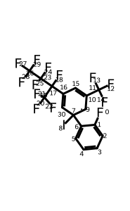 Fc1ccccc1C1(I)[CH]C(C(F)(F)F)=CC(C(F)(C(F)(F)F)C(F)(F)C(F)(F)F)=C1